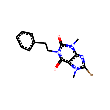 Cn1c(Br)nc2c1c(=O)n(CCc1ccccc1)c(=O)n2C